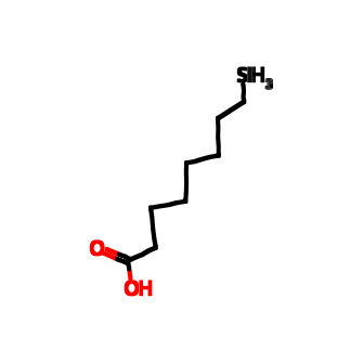 O=C(O)CCCCCCC[SiH3]